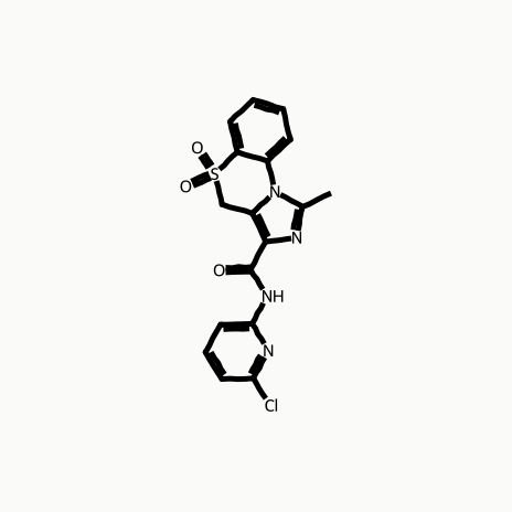 Cc1nc(C(=O)Nc2cccc(Cl)n2)c2n1-c1ccccc1S(=O)(=O)C2